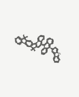 CC1(C)c2ccccc2-c2cc3c(cc21)-c1c(cc(-c2c4ccccc4c(-c4ccc5oc6ccccc6c5c4)c4ccccc24)c2ccccc12)C3(C)C